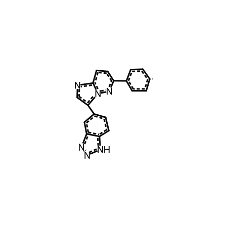 [c]1ccc(-c2ccc3ncc(-c4ccc5[nH]nnc5c4)n3n2)cc1